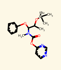 CC(O[Si](C)(C)C(C)(C)C)C(Oc1ccccc1)N(C)C(=O)Oc1ccncn1